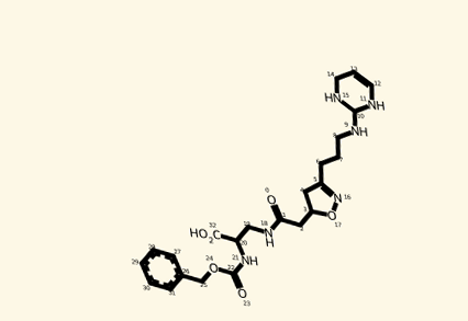 O=C(CC1CC(CCCNC2NC=CCN2)=NO1)NCC(NC(=O)OCc1ccccc1)C(=O)O